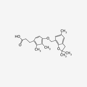 Cc1cc(COc2ccc(CCC(=O)O)c(C)c2C)c2c(c1)CC(C)(C)O2